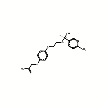 C[C@@](O)(NCCOc1ccc(OCC(=O)O)cc1)c1ccc(N)nc1